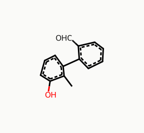 Cc1c(O)cccc1-c1ccccc1C=O